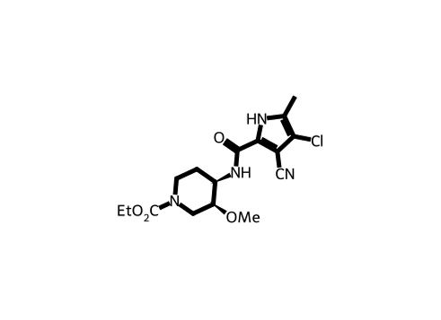 CCOC(=O)N1CC[C@@H](NC(=O)c2[nH]c(C)c(Cl)c2C#N)[C@@H](OC)C1